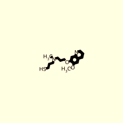 COc1cc2cccnc2cc1OCCCN(C)CCCS